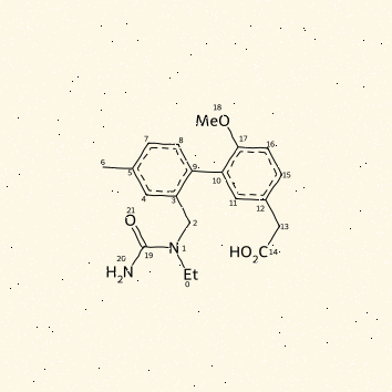 CCN(Cc1cc(C)ccc1-c1cc(CC(=O)O)ccc1OC)C(N)=O